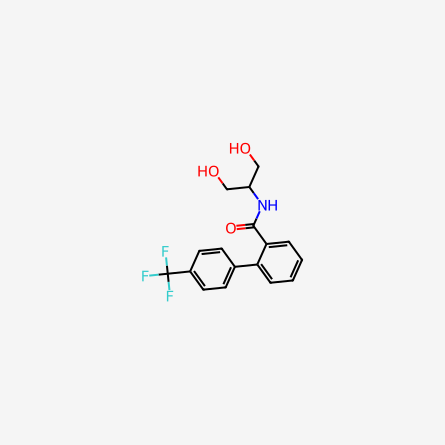 O=C(NC(CO)CO)c1ccccc1-c1ccc(C(F)(F)F)cc1